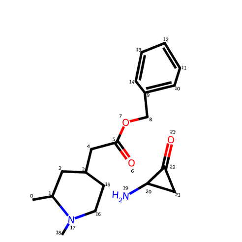 CC1CC(CC(=O)OCc2ccccc2)CCN1C.NC1CC1=O